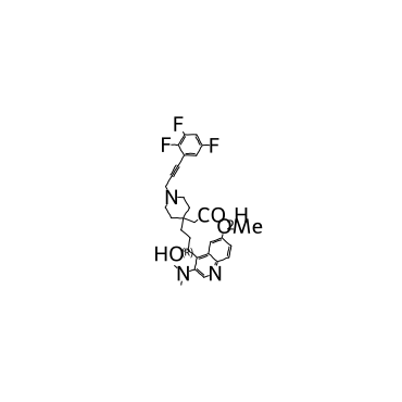 COc1ccc2ncc(N(C)C)c([C@H](O)CCC3(CC(=O)O)CCN(CC#Cc4cc(F)cc(F)c4F)CC3)c2c1